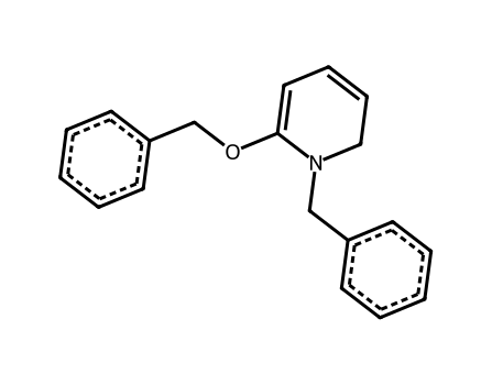 C1=CCN(Cc2ccccc2)C(OCc2ccccc2)=C1